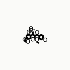 CCOC(=O)C(C(=O)c1ccc(OC)cc1)C(C[N+](=O)[O-])c1ccc2c(c1)OCO2